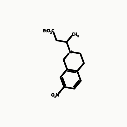 CCOC(=O)CC(C)N1CCc2ccc([N+](=O)[O-])cc2C1